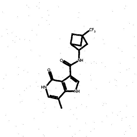 Cc1c[nH]c(=O)c2c(C(=O)NC3CC4(C(F)(F)F)CC3C4)c[nH]c12